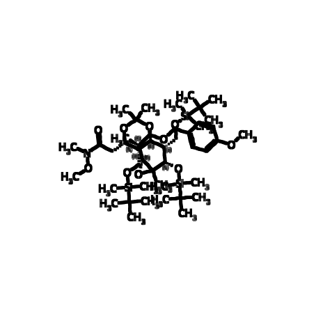 COc1ccc(COC[C@H](C)[C@H]2OC2(C)[C@@H](O[Si](C)(C)C(C)(C)C)[C@@H](CO[Si](C)(C)C(C)(C)C)[C@@H]2OC(C)(C)O[C@@H](CC(=O)N(C)OC)[C@H]2CO[Si](C)(C)C(C)(C)C)cc1